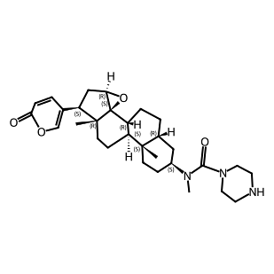 CN(C(=O)N1CCNCC1)[C@H]1CC[C@@]2(C)[C@H](CC[C@@H]3[C@@H]2CC[C@]2(C)[C@@H](c4ccc(=O)oc4)C[C@H]4O[C@]342)C1